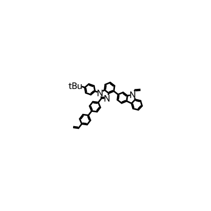 C=Cc1ccc(-c2ccc(-c3nc4c(-c5ccc6c7ccccc7n(C=C)c6c5)cccc4n3-c3ccc(C(C)(C)C)cc3)cc2)cc1